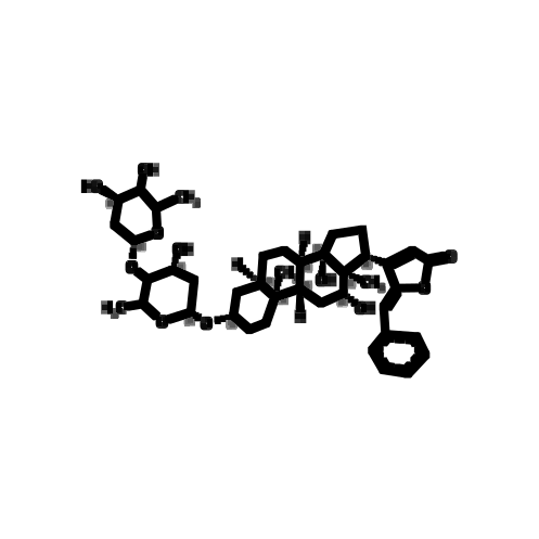 CC1O[C@H](OC2C(C)O[C@@H](O[C@H]3CC[C@@]4(C)[C@H](CC[C@@H]5[C@@H]4C[C@@H](O)[C@]4(C)[C@@H](C6=CC(=O)OC6=Cc6ccccc6)CC[C@]54O)C3)C[C@H]2O)C[C@@H](O)C1O